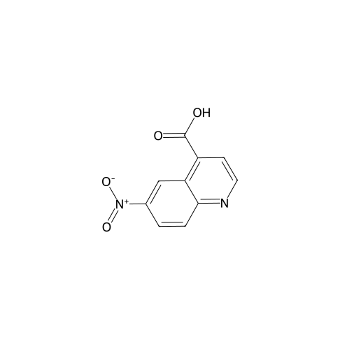 O=C(O)c1ccnc2ccc([N+](=O)[O-])cc12